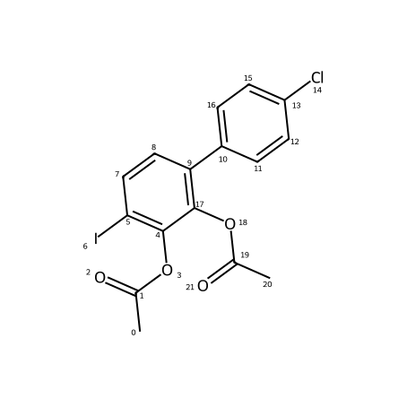 CC(=O)Oc1c(I)ccc(-c2ccc(Cl)cc2)c1OC(C)=O